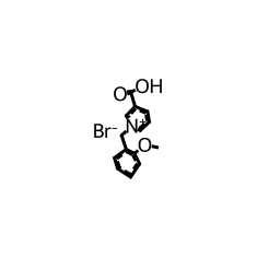 COc1ccccc1C[n+]1cccc(C(=O)O)c1.[Br-]